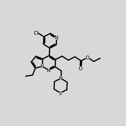 CCOC(=O)CCCc1c(CN2CCSCC2)nn2c(CC)ccc2c1-c1cncc(Cl)c1